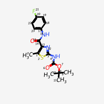 Cc1sc(NC(=O)OC(C)(C)C)nc1C(=O)Nc1ccc(F)cc1